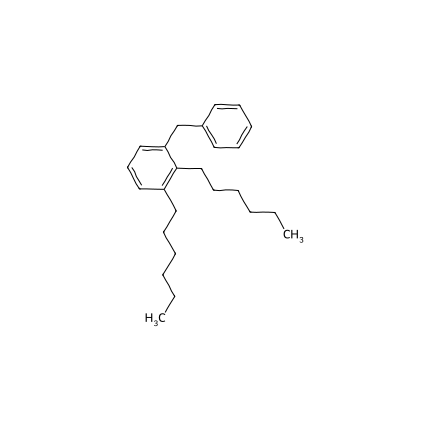 CCCCCCc1cccc(Cc2ccccc2)c1CCCCCC